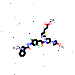 COC(=O)CCc1cnc([C@@H]2C[C@H](N3CC(OC)C3)CN2C(=O)Cc2cc(Cl)c(NC(=O)c3cn(C)c4ccccc34)cc2Cl)s1